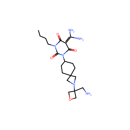 CCCCN1C(=O)C(=C(N)N)C(=O)N(C2CCC3(CC2)CN(C2(CN)COC2)C3)C1=O